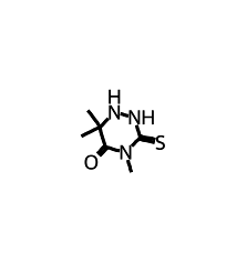 CN1C(=O)C(C)(C)NNC1=S